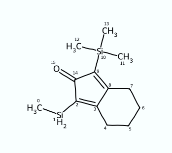 C[SiH2]C1=C2CCCCC2=C([Si](C)(C)C)C1=O